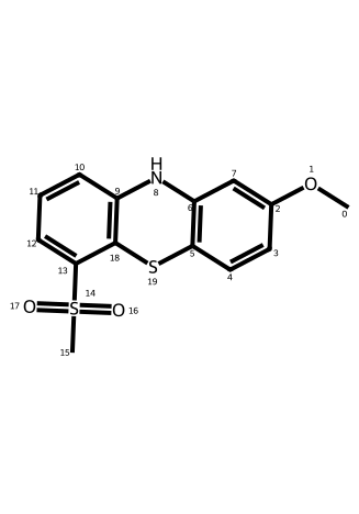 COc1ccc2c(c1)Nc1cccc(S(C)(=O)=O)c1S2